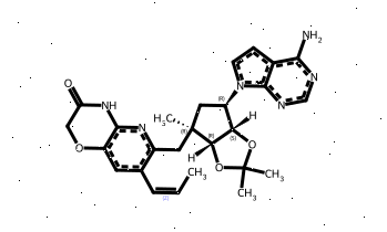 C/C=C\c1cc2c(nc1C[C@@]1(C)C[C@@H](n3ccc4c(N)ncnc43)[C@@H]3OC(C)(C)O[C@@H]31)NC(=O)CO2